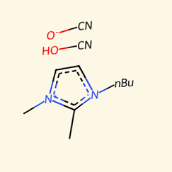 CCCCn1cc[n+](C)c1C.N#CO.N#C[O-]